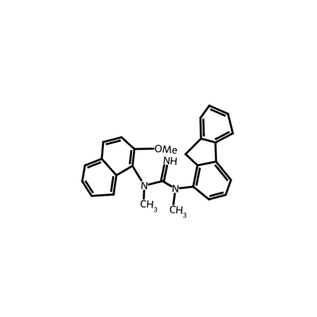 COc1ccc2ccccc2c1N(C)C(=N)N(C)c1cccc2c1Cc1ccccc1-2